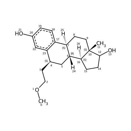 COCC[C@@H]1C[C@@H]2[C@H](CC[C@]3(C)C(O)CC[C@@H]23)c2ccc(O)cc21